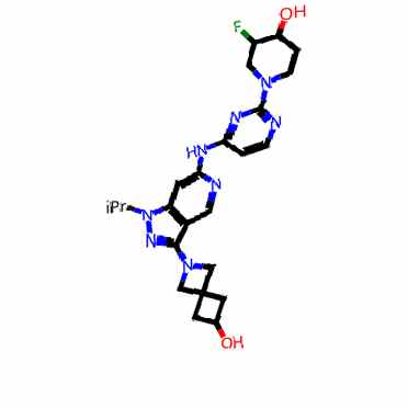 CC(C)n1nc(N2CC3(CC(O)C3)C2)c2cnc(Nc3ccnc(N4CCC(O)C(F)C4)n3)cc21